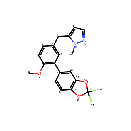 COc1ccc(Cc2ccnn2C)cc1-c1ccc2c(c1)OC(F)(F)O2